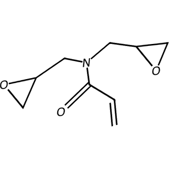 C=CC(=O)N(CC1CO1)CC1CO1